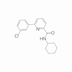 O=C(NC1CCCCC1)c1cccc(-c2cccc(Cl)c2)n1